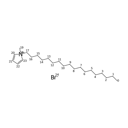 CCCCCCCCCCCCCCCCCC[N+]1(C)C=CC=C1.[Br-]